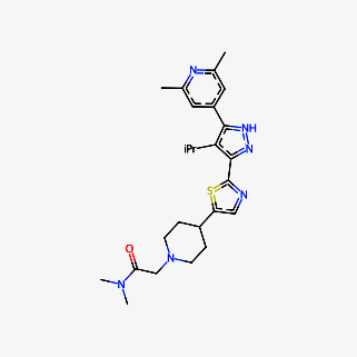 Cc1cc(-c2[nH]nc(-c3ncc(C4CCN(CC(=O)N(C)C)CC4)s3)c2C(C)C)cc(C)n1